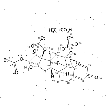 CC(=O)O.CCC(=O)OCC(=O)[C@@]1(OC(=O)CC)[C@@H](C)C[C@H]2[C@@H]3CCC4=CC(=O)C=C[C@]4(C)C3(F)[C@@H](OP(=O)(O)O)C[C@@]21C